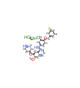 COc1cc2ncnc(Nc3ccc(OCc4cccc(F)c4)c(Cl)c3)c2cc1OC1CCNCC1.Cl.Cl